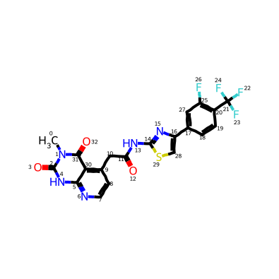 Cn1c(=O)[nH]c2nccc(CC(=O)Nc3nc(-c4ccc(C(F)(F)F)c(F)c4)cs3)c2c1=O